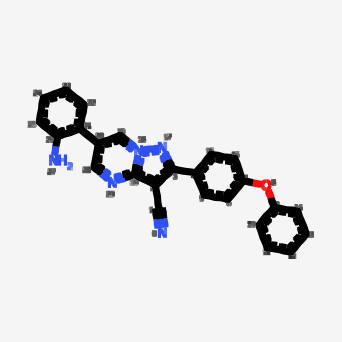 N#Cc1c(-c2ccc(Oc3ccccc3)cc2)nn2cc(-c3ccccc3N)cnc12